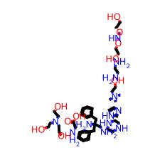 C1CNCCN1.C[N+](C)(C)CCO.NCC(=O)O.NCC(N)(Cc1ccccc1)Cc1ccccc1.NCCN.OCCN(CCO)CCO.OCCONOCCO.c1c[nH]cn1